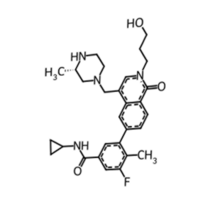 Cc1c(F)cc(C(=O)NC2CC2)cc1-c1ccc2c(=O)n(CCCO)cc(CN3CCN[C@@H](C)C3)c2c1